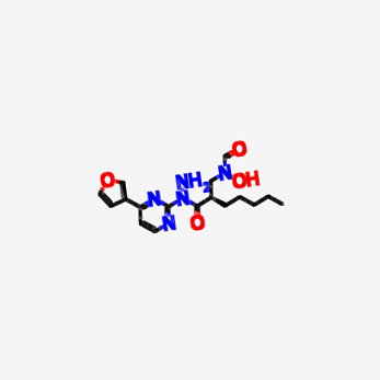 CCCCC[C@H](CN(O)C=O)C(=O)N(N)c1nccc(-c2ccoc2)n1